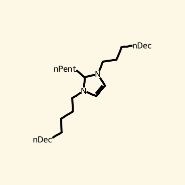 CCCCCCCCCCCCCCN1C=CN(CCCCCCCCCCCCC)C1CCCCC